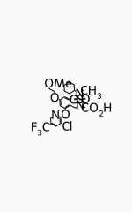 COCCOc1ccc(CN(C(=O)O)S(=O)(=O)N(C)C2CCCCC2)c(Oc2ncc(C(F)(F)F)cc2Cl)c1